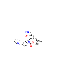 COCc1cc2c(c(-c3cc4cc(CN5CCCCC5)ccc4n3C(=O)OC(C)(C)C)c1)C(=O)NC2